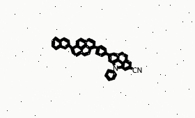 N#Cc1cc2ccc3cc(-c4ccc(-c5ccc6ccc7c(-c8ccc9ccccc9c8)ccc8ccc5c6c87)cc4)cc4c3c2c(c1)n4-c1ccccc1